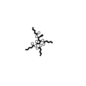 C#CC(OC(=O)CCCC)C1O[C@H](OC(=O)CCCC)C(OC(=O)CCCC)C1OC(=O)CCCC